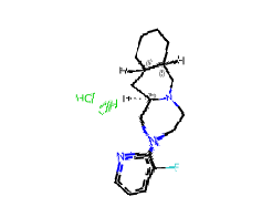 Cl.Cl.Fc1cccnc1N1CCN2C[C@H]3CCCC[C@H]3C[C@@H]2C1